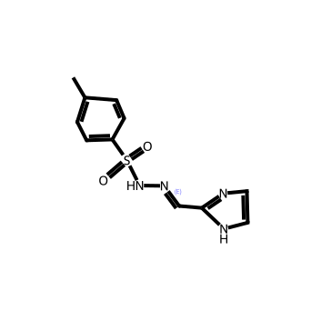 Cc1ccc(S(=O)(=O)N/N=C/c2ncc[nH]2)cc1